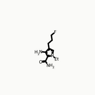 CCn1cc(CCCF)c(N)c1C(N)=O